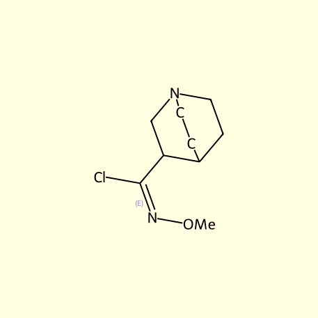 CO/N=C(/Cl)C1CN2CCC1CC2